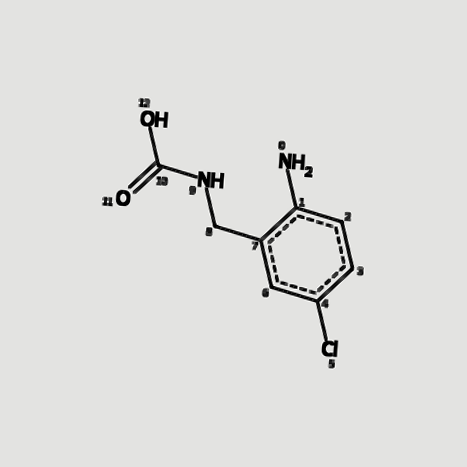 Nc1ccc(Cl)cc1CNC(=O)O